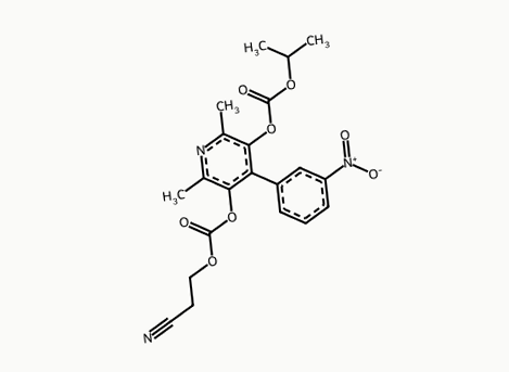 Cc1nc(C)c(OC(=O)OC(C)C)c(-c2cccc([N+](=O)[O-])c2)c1OC(=O)OCCC#N